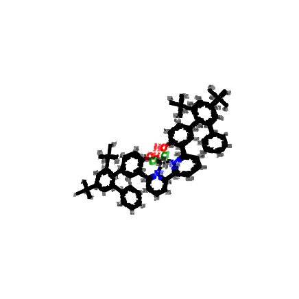 CC(C)(C)c1cc(-c2ccccc2)c(-c2ccc(O)c(-c3cccc4[n+]3[Hf]([Cl])([Cl])[n+]3c(-c5cc(-c6c(-c7ccccc7)cc(C(C)(C)C)cc6C(C)(C)C)ccc5O)cccc3-4)c2)c(C(C)(C)C)c1